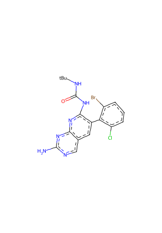 CC(C)(C)NC(=O)Nc1nc2nc(N)ncc2cc1-c1c(Cl)cccc1Br